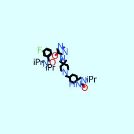 CC(C)N1CC2(CCC(CN3CCC4(CC3)CN(c3ncncc3Oc3ccc(F)cc3C(=O)N(C(C)C)C(C)C)C4)CC2)NC1=O